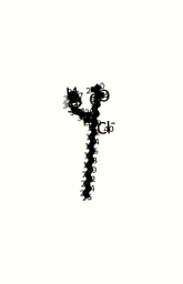 C=C(C)C(=O)OCCCC(CCCCCCCCCCCCCCCCC)[N+](C)(C)CCC[SiH](C)O[Si](C)(C)C.[Cl-]